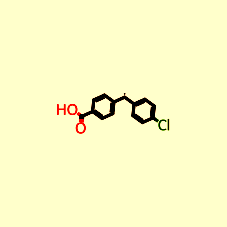 O=C(O)c1ccc([CH]c2ccc(Cl)cc2)cc1